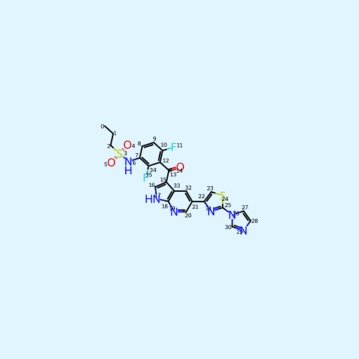 CCCS(=O)(=O)Nc1ccc(F)c(C(=O)c2c[nH]c3ncc(-c4csc(-n5ccnc5)n4)cc23)c1F